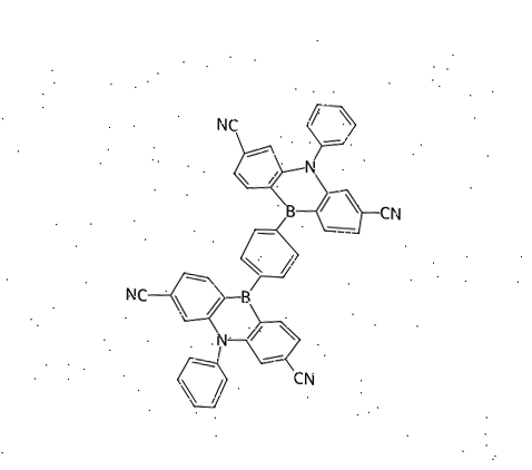 N#Cc1ccc2c(c1)N(c1ccccc1)c1cc(C#N)ccc1B2c1ccc(B2c3ccc(C#N)cc3N(c3ccccc3)c3cc(C#N)ccc32)cc1